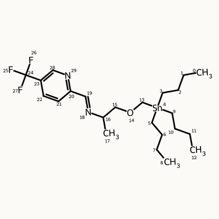 CCC[CH2][Sn]([CH2]CCC)([CH2]CCC)[CH2]OCC(C)N=Cc1ccc(C(F)(F)F)cn1